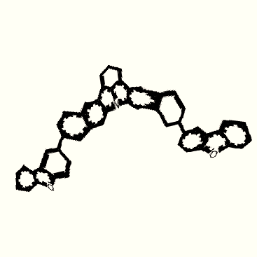 C1=CC(c2ccc3oc4ccccc4c3c2)Cc2cc3c(cc21)c1c2c(c4cc5ccc(C6C=c7c(oc8ccccc78)=CC6)cc5cc4n23)=CCC1